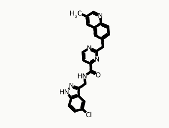 Cc1cnc2ccc(Cc3nccc(C(=O)NCc4n[nH]c5ccc(Cl)cc45)n3)cc2c1